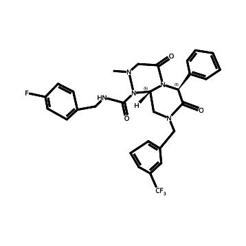 CN1CC(=O)N2[C@@H](c3ccccc3)C(=O)N(Cc3cccc(C(F)(F)F)c3)C[C@@H]2N1C(=O)NCc1ccc(F)cc1